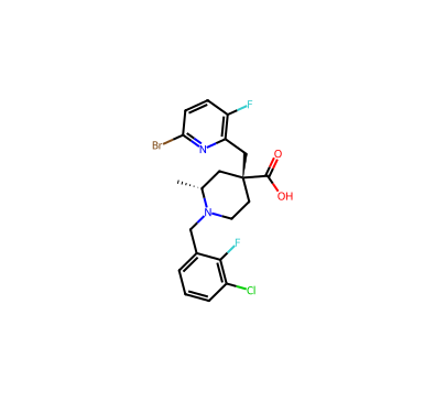 C[C@@H]1C[C@](Cc2nc(Br)ccc2F)(C(=O)O)CCN1Cc1cccc(Cl)c1F